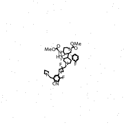 COC(=O)N[C@H]1CCN(C(=O)OC)C[C@@](c2cccc(F)c2)(C2CCN(CC3(F)CN(c4cc(CN5CCC5)c(C#N)cc4F)C3)CC2)[C@H]1C